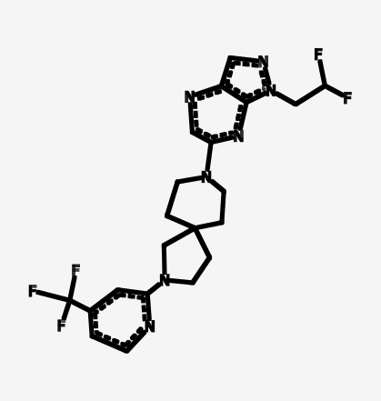 FC(F)Cn1ncc2ncc(N3CCC4(CCN(c5cc(C(F)(F)F)ccn5)C4)CC3)nc21